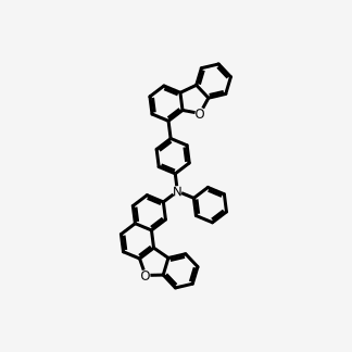 c1ccc(N(c2ccc(-c3cccc4c3oc3ccccc34)cc2)c2ccc3ccc4oc5ccccc5c4c3c2)cc1